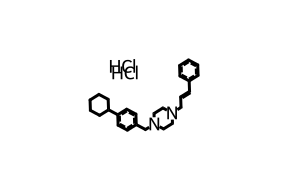 C(=C\c1ccccc1)/CN1CCN(Cc2ccc(C3CCCCC3)cc2)CC1.Cl.Cl